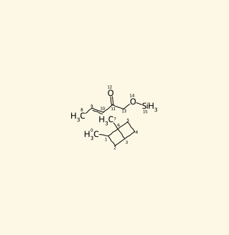 CC1CC2CCC12C.CC=CC(=O)CO[SiH3]